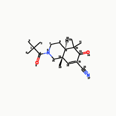 CC(C)(C)C(=O)N1CC[C@H]2C(C)(C)C(=O)C(C#N)=C[C@]2(C)C1